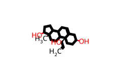 C=CC(O)[C@]12CC[C@H](O)CC1=CCC1C2CC[C@@]2(C)C1CC[C@@H]2O